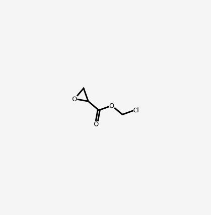 O=C(OCCl)C1CO1